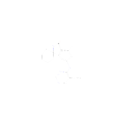 CCC(C)/C(SC)=C(\N=C/N)Nc1cc(C)c2c(c1)C1(CCCCC1)NC2=O